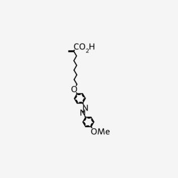 C=C(CCCCCCCOc1ccc(N=Nc2ccc(OC)cc2)cc1)C(=O)O